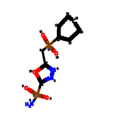 NS(=O)(=O)c1nnc(CS(=O)(=O)c2ccccc2)o1